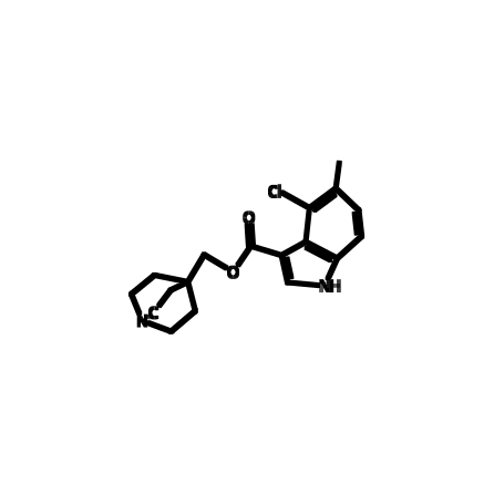 Cc1ccc2[nH]cc(C(=O)OCC34CCN(CC3)CC4)c2c1Cl